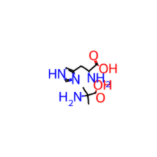 CC(C)(N)C(=O)O.NC(Cc1c[nH]cn1)C(=O)O